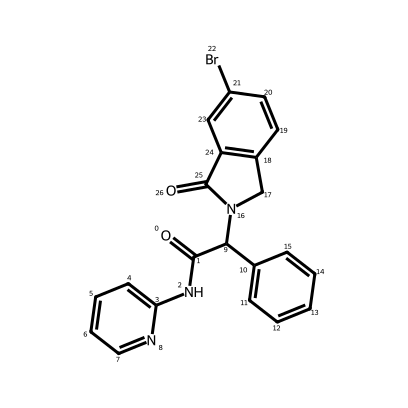 O=C(Nc1ccccn1)C(c1ccccc1)N1Cc2ccc(Br)cc2C1=O